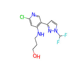 OCCCNc1cc(Cl)ncc1-c1ccn(C(F)F)n1